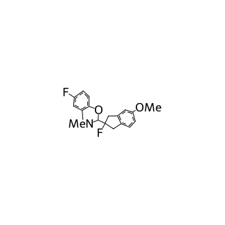 CNC(Oc1ccc(F)cc1C)C1(F)Cc2ccc(OC)cc2C1